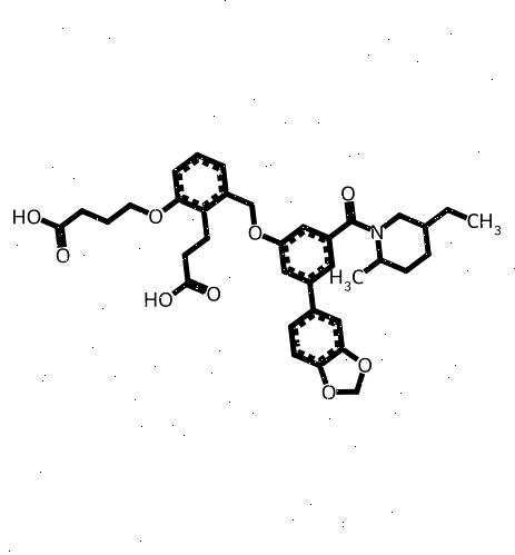 CCC1CCC(C)N(C(=O)c2cc(OCc3cccc(OCCCC(=O)O)c3CCC(=O)O)cc(-c3ccc4c(c3)OCO4)c2)C1